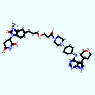 Cn1c(=O)n(C2CCC(=O)NC2=O)c2ccc(CCCOCCC(=O)N3CCN([C@H]4CC[C@H](Nc5ncnc6[nH]cc(C7CCOCC7)c56)CC4)CC3)cc21